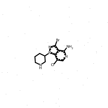 Nc1ncc(Cl)c2c1c(Br)nn2C1CCCNC1